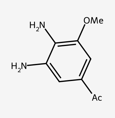 COc1cc(C(C)=O)cc(N)c1N